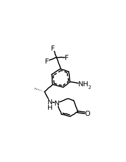 C[C@@H](NN1C=CC(=O)CC1)c1cc(N)cc(C(F)(F)F)c1